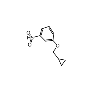 O=[SH](=O)c1cccc(OCC2CC2)c1